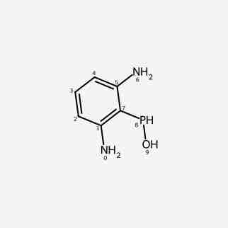 Nc1cccc(N)c1PO